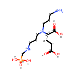 NCCCN(CCCNCP(=O)(O)O)[C@@H](CCC(=O)O)C(=O)O